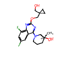 C[C@@]1(O)CCCN(c2nc(OCC3(CO)CC3)nc3c(F)cc(F)cc23)C1